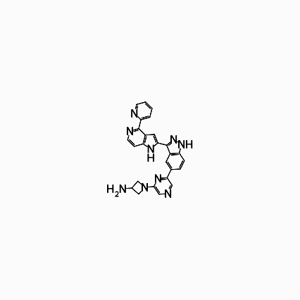 NC1CN(c2cncc(-c3ccc4[nH]nc(-c5cc6c(-c7ccccn7)nccc6[nH]5)c4c3)n2)C1